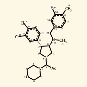 CC(=O)C(N1CCOCC1)N1C[C@H](c2ccc(Cl)c(Cl)c2)[C@@H](N(C)Cc2ccc(C(F)(F)F)c(F)c2)C1